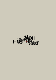 CCC(SC[C@H]1CC[C@@H]2[C@@H](/C=C/[C@@H](O)COc3ccccc3)[C@H](O)C[C@@H]2OC1)C(=O)O